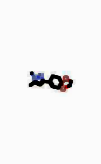 Cc1cc(C2=CCC3(CC2)OCCO3)nn1C